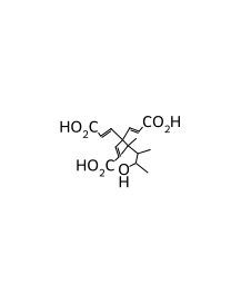 CC(O)C(C)C(C)(C)C(C=CC(=O)O)(C=CC(=O)O)C=CC(=O)O